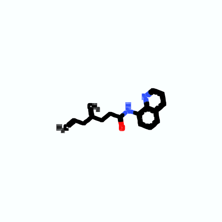 C=CCC(=C)CCC(=O)Nc1cccc2cccnc12